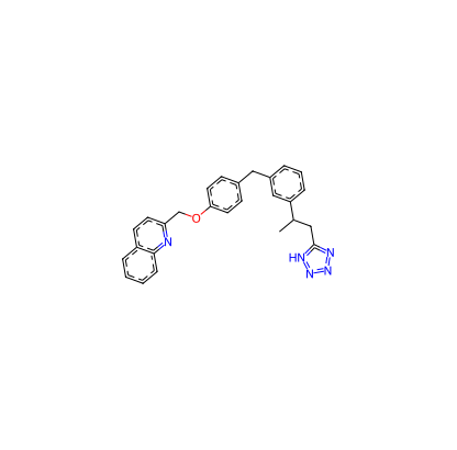 CC(Cc1nnn[nH]1)c1cccc(Cc2ccc(OCc3ccc4ccccc4n3)cc2)c1